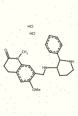 COc1cc2c(cc1CNC1CCCNC1c1ccccc1)N(C)C(=O)CC2.Cl.Cl